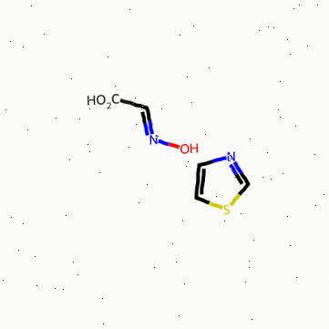 O=C(O)C=NO.c1cscn1